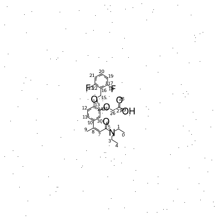 CCN(CC)C(=O)/C=C(/C)c1ccc(OCc2c(F)cccc2F)c(OCC(=O)O)c1